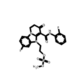 COS(=O)(=O)OCCN1C2=C(C(=O)Nc3ccccc3F)C(=O)CCN2c2ccc(F)cc21